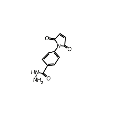 NNC(=O)c1ccc(N2C(=O)C=CC2=O)cc1